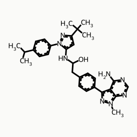 CC(C)c1ccc(-n2nc(C(C)(C)C)cc2NC(O)Cc2ccc(-c3nn(C)c4ncnc(N)c34)cc2)cc1